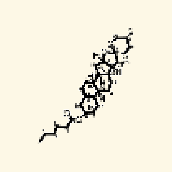 CCCCCC(=O)OC1CC[C@@]2(C)C(=CC[C@H]3[C@@H]4C[C@@H]5O[C@]6(CC[C@H](C)CO6)[C@@H](C)[C@@H]5[C@@]4(C)CC[C@@H]32)C1